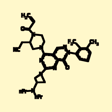 C=CC(=O)N1CCN(c2nc(N3CC(N(CCC)CCC)C3)nc3c(=O)n(-c4cccc(C)c4C(F)(F)F)ncc23)CC1CC#N